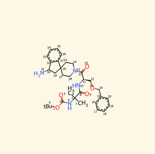 CC(C)(C)OC(=O)NC(C)(C)C(=O)N[C@H](COCc1ccccc1)C(=O)N1CCC2(CC1)CC(N)c1ccccc12